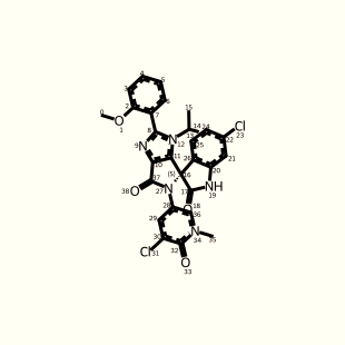 COc1ccccc1-c1nc2c(n1C(C)C)[C@@]1(C(=O)Nc3cc(Cl)ccc31)N(c1cc(Cl)c(=O)n(C)c1)C2=O